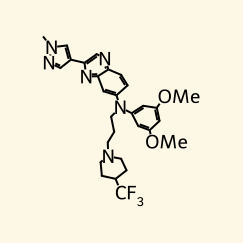 COc1cc(OC)cc(N(CCCN2CCC(C(F)(F)F)CC2)c2ccc3ncc(-c4cnn(C)c4)nc3c2)c1